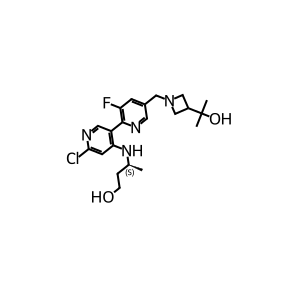 C[C@@H](CCO)Nc1cc(Cl)ncc1-c1ncc(CN2CC(C(C)(C)O)C2)cc1F